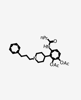 CCCC(=O)Nc1ccc(OC(C)=O)c(OC(C)=O)c1C1CCN(CCCc2ccccc2)CC1